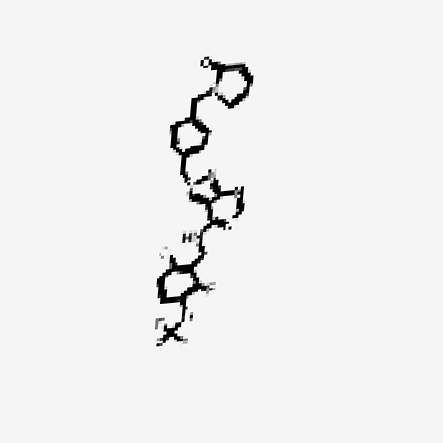 O=c1ccccn1Cc1ccc(Cn2cc3c(NCc4c(Cl)ccc(OC(F)(F)F)c4F)ncnc3n2)cc1